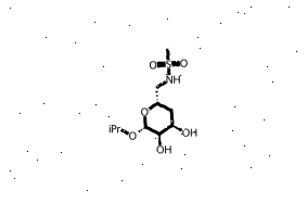 CC(C)O[C@@H]1O[C@H](CNS(C)(=O)=O)C[C@@H](O)[C@H]1O